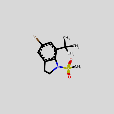 CC(C)(C)c1cc(Br)cc2c1N(S(C)(=O)=O)CC2